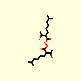 CC(=O)C(CCCCC(C)C)C(=O)OOC(=O)C(CCCCC(C)C)C(C)=O